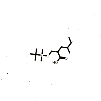 CCC(C)CC(CO[Si](C)(C)C(C)(C)C)C(=O)O